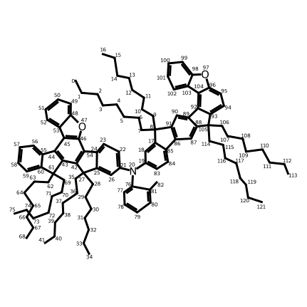 CCCCCCCCC1(CCCCCCCC)c2cc(N(c3ccc4c(c3)C(CCCCCCC)(CCCCCCC)c3c5c(c6c(oc7ccccc76)c3-4)-c3ccccc3C5(CCCCCCC)CCCCCCC)c3ccccc3C)ccc2-c2cc3c(cc21)-c1c(ccc2oc4ccccc4c12)C3(CCCCCCCC)CCCCCCCC